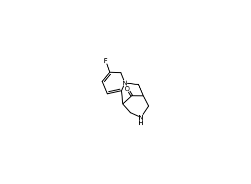 O=C1C2CNCC1C1=CC=C(F)CN1C2